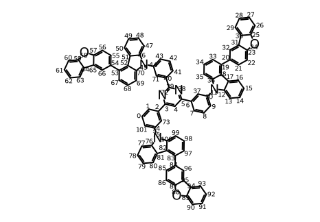 c1cc(-c2cc(-c3cccc(-n4c5ccccc5c5c(-c6ccc7oc8ccccc8c7c6)cccc54)c3)nc(-c3cccc(-n4c5ccccc5c5c(-c6ccc7oc8ccccc8c7c6)cccc54)c3)n2)cc(-n2c3ccccc3c3c(-c4ccc5oc6ccccc6c5c4)cccc32)c1